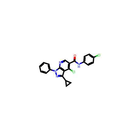 O=C(Nc1ccc(Cl)cc1)c1cnc2c(c(C3CC3)nn2-c2ccccc2)c1Cl